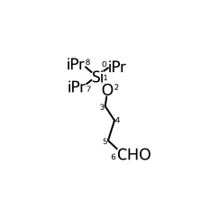 CC(C)[Si](OCCCC=O)(C(C)C)C(C)C